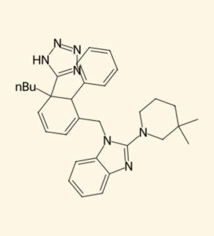 CCCCC1(c2nnn[nH]2)C=CC=C(Cn2c(N3CCCC(C)(C)C3)nc3ccccc32)C1c1ccccc1